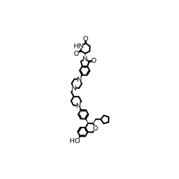 O=C1CC[C@H](N2Cc3cc(N4CCN(CC5CCN(c6ccc([C@@H]7c8ccc(O)cc8CO[C@@H]7CC7CCCC7)cc6)CC5)CC4)ccc3C2=O)C(=O)N1